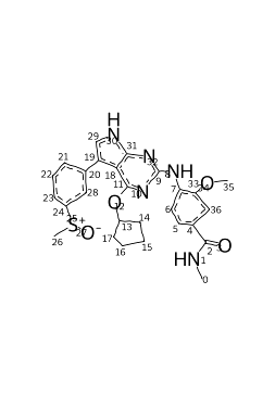 CNC(=O)c1ccc(Nc2nc(OC3CCCC3)c3c(-c4cccc([S+](C)[O-])c4)c[nH]c3n2)c(OC)c1